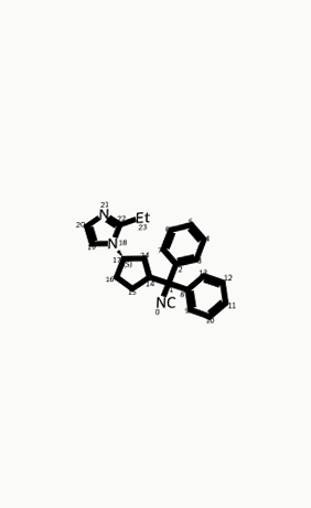 [C-]#[N+]C(c1ccccc1)(c1ccccc1)C1CC[C@H](n2ccnc2CC)C1